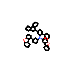 C1=CC2Oc3cccc(-c4cccc(N(c5ccc6oc7ccccc7c6c5)c5cc(-c6cc7ccccc7c7ccccc67)ccc5-c5ccccc5)c4)c3C2C=C1